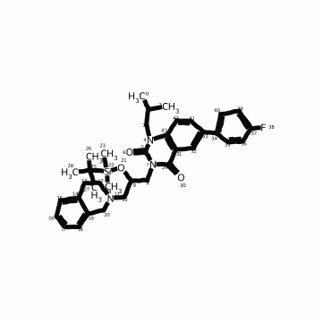 CC(C)Cn1c(=O)n(CC(CN2CCc3ccccc3C2)O[Si](C)(C)C(C)(C)C)c(=O)c2cc(-c3ccc(F)cc3)ccc21